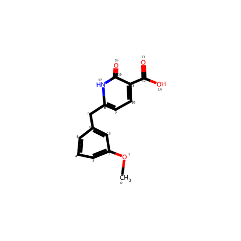 COc1cccc(Cc2ccc(C(=O)O)c(=O)[nH]2)c1